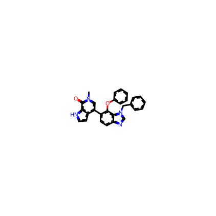 Cn1cc(-c2ccc3ncn(Cc4ccccc4)c3c2Oc2ccccc2)c2cc[nH]c2c1=O